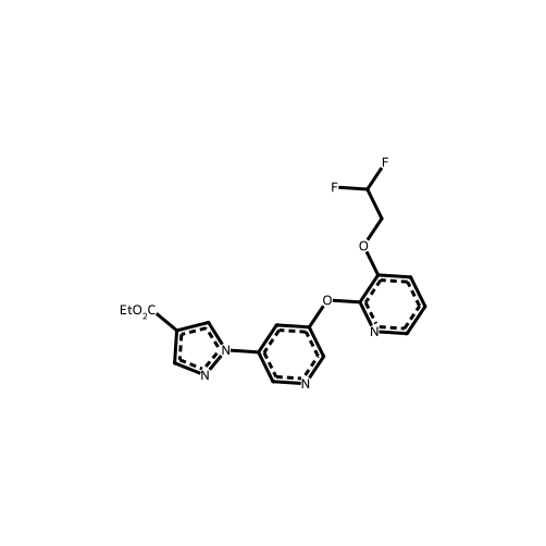 CCOC(=O)c1cnn(-c2cncc(Oc3ncccc3OCC(F)F)c2)c1